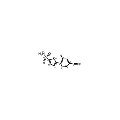 Cc1cc(C#N)ccc1-c1ccc(S(N)(=O)=O)s1